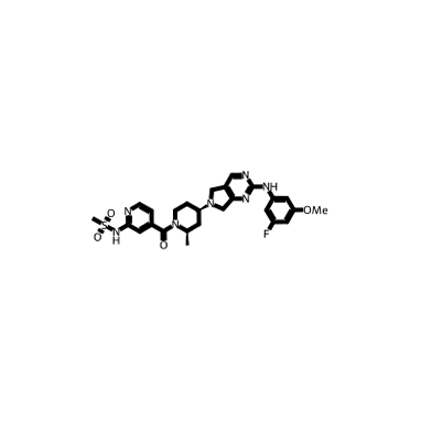 COc1cc(F)cc(Nc2ncc3c(n2)CN([C@@H]2CCN(C(=O)c4ccnc(NS(C)(=O)=O)c4)[C@H](C)C2)C3)c1